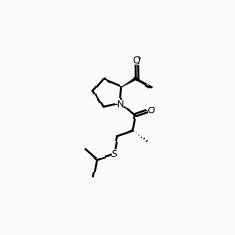 CC(=O)[C@@H]1CCCN1C(=O)[C@H](C)CSC(C)C